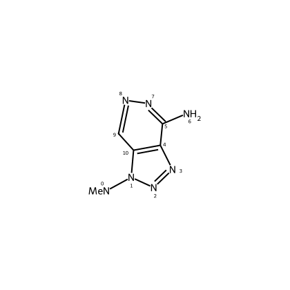 CNn1nnc2c(N)nncc21